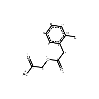 CC(=O)C(=O)COC(=O)Cc1ccccc1C